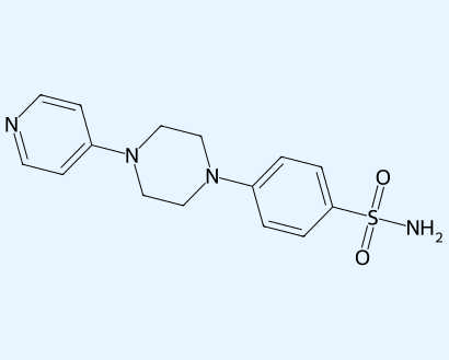 NS(=O)(=O)c1ccc(N2CCN(c3ccncc3)CC2)cc1